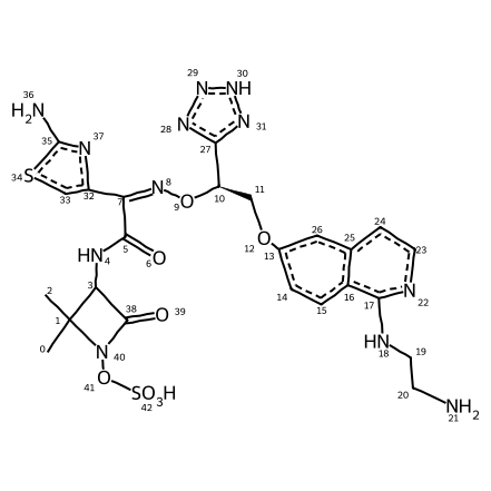 CC1(C)C(NC(=O)/C(=N\O[C@H](COc2ccc3c(NCCN)nccc3c2)c2nn[nH]n2)c2csc(N)n2)C(=O)N1OS(=O)(=O)O